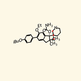 CCOc1cc2c(cc1-c1ccc(OCC(C)C)cc1)CC(C)(C)[C@]2(OC(N)=O)[C@@H]1CN2CCC1CC2